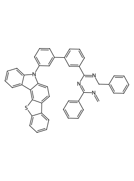 C=N/C(=N\C(=N/Cc1ccccc1)c1cccc(-c2cccc(-n3c4ccccc4c4c5sc6ccccc6c5ccc43)c2)c1)c1ccccc1